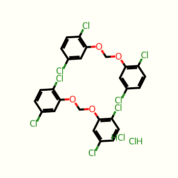 Cl.Cl.Clc1ccc(Cl)c(OCOc2cc(Cl)ccc2Cl)c1.Clc1ccc(Cl)c(OCOc2cc(Cl)ccc2Cl)c1